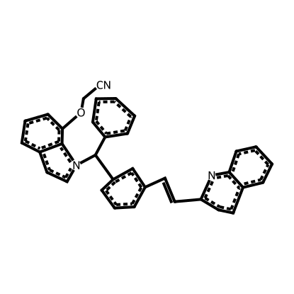 N#CCOc1cccc2ccn(C(c3ccccc3)c3cccc(C=Cc4ccc5ccccc5n4)c3)c12